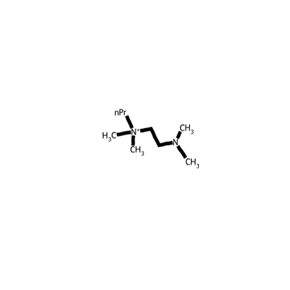 CCC[N+](C)(C)CCN(C)C